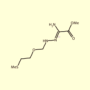 COC(=O)/C(N)=N/NCOCCSC